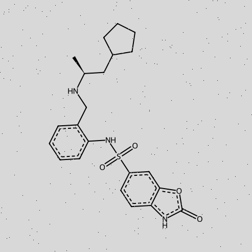 C[C@@H](CC1CCCC1)NCc1ccccc1NS(=O)(=O)c1ccc2[nH]c(=O)oc2c1